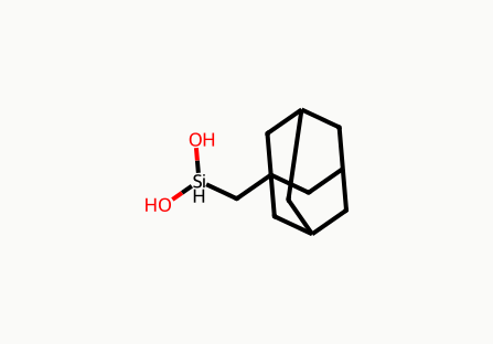 O[SiH](O)CC12CC3CC(CC(C3)C1)C2